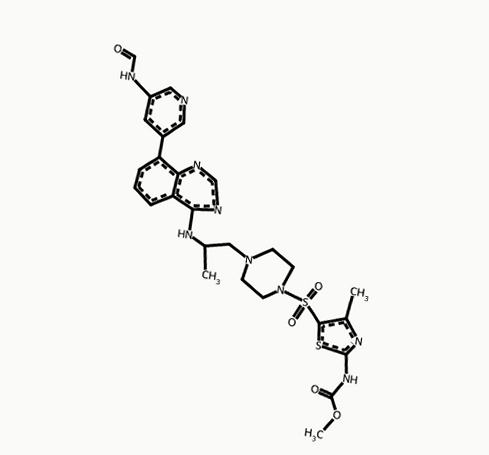 COC(=O)Nc1nc(C)c(S(=O)(=O)N2CCN(CC(C)Nc3ncnc4c(-c5cncc(NC=O)c5)cccc34)CC2)s1